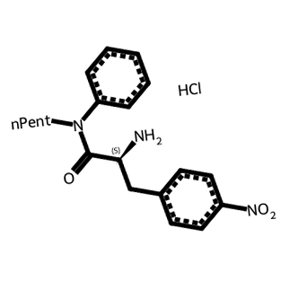 CCCCCN(C(=O)[C@@H](N)Cc1ccc([N+](=O)[O-])cc1)c1ccccc1.Cl